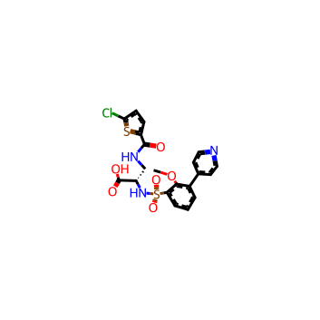 COc1c(-c2ccncc2)cccc1S(=O)(=O)N[C@@H](CNC(=O)c1ccc(Cl)s1)C(=O)O